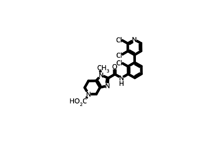 Cn1c(C(=O)Nc2cccc(-c3ccnc(Cl)c3Cl)c2Cl)nc2c1CCN(C(=O)O)C2